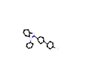 Cc1ccc(-c2ccc(-c3nc4ccccc4n3-c3ccccc3)cc2)cc1